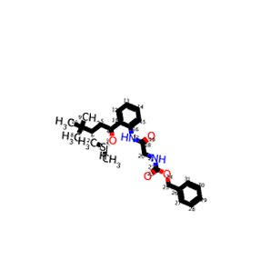 C[SiH](C)OC(CCC(C)(C)C)c1ccccc1NC(=O)CNC(=O)OCc1ccccc1